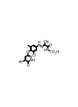 Cc1cc(N/N=C(\C#N)C(=O)NC(=O)O)cc(Cl)c1Oc1cc(C(C)C)c(=O)[nH]n1